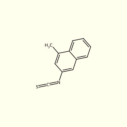 Cc1cc(N=C=S)cc2ccccc12